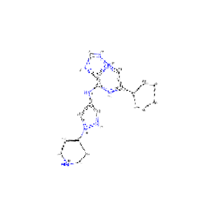 c1nc2c(Nc3cnn(C4CCNCC4)c3)nc(C3CCCCC3)cn2n1